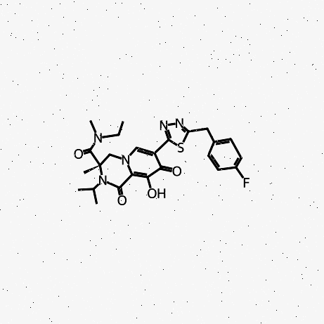 CCN(C)C(=O)[C@]1(C)Cn2cc(-c3nnc(Cc4ccc(F)cc4)s3)c(=O)c(O)c2C(=O)N1C(C)C